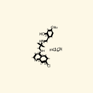 COc1ccc(CNC(C)(C)CNc2ccnc3cc(Cl)ccc23)c(O)c1.Cl.Cl